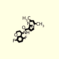 Cc1cc(C)n2ccc(C(=O)NC3CCOc4c(F)ccc(F)c43)c2n1